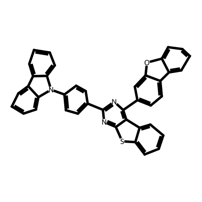 c1ccc2c(c1)oc1cc(-c3nc(-c4ccc(-n5c6ccccc6c6ccccc65)cc4)nc4sc5ccccc5c34)ccc12